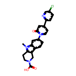 Cn1c2c(c3ccc(-n4ccc(-c5ccc(Cl)cn5)cc4=O)cc31)CN(C(=O)O)CC2